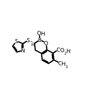 Cc1ccc2c(c1C(=O)O)OB(O)[C@@H](Sc1nccs1)C2